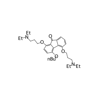 CCCCOc1ccc(OCCCN(CC)CC)c2c1-c1c(OCCCN(CC)CC)cccc1C2=O